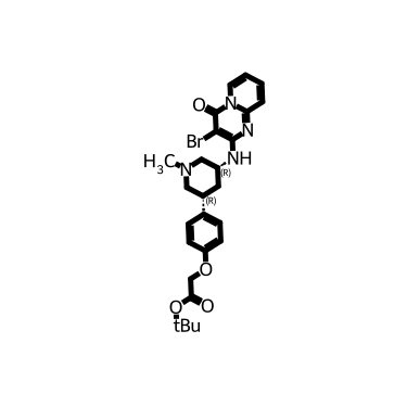 CN1C[C@H](Nc2nc3ccccn3c(=O)c2Br)C[C@H](c2ccc(OCC(=O)OC(C)(C)C)cc2)C1